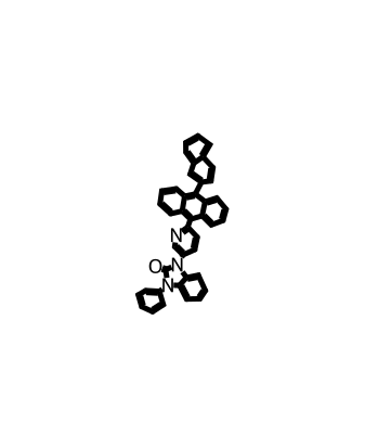 O=c1n(-c2ccccc2)c2ccccc2n1-c1ccc(-c2c3ccccc3c(-c3ccc4ccccc4c3)c3ccccc23)nc1